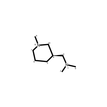 CN(C)C[C@H]1CCCN(C)C1